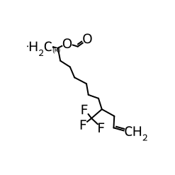 [CH2][C@H](CCCCCCC(CC=C)C(F)(F)F)OC=O